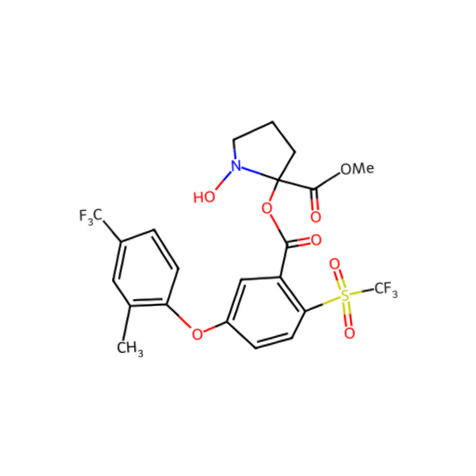 COC(=O)C1(OC(=O)c2cc(Oc3ccc(C(F)(F)F)cc3C)ccc2S(=O)(=O)C(F)(F)F)CCCN1O